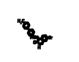 CN1CCN(c2ccc(N/C=C3\C(=O)NCc4cc(Br)ccc43)cc2)CC1